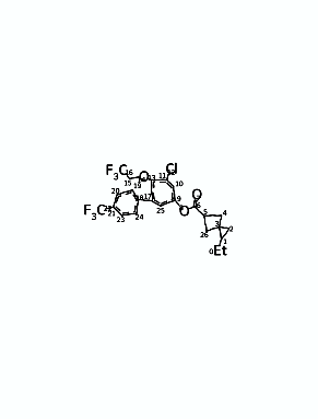 CCC1CC12CC(C(=O)Oc1cc(Cl)c(OCC(F)(F)F)c(-c3ccc(C(F)(F)F)cc3)c1)C2